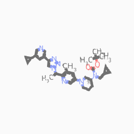 Cc1cc(N2CCC[C@@H](N(CC3CC3)C(=O)OC(C)(C)C)C2)cnc1C(C)n1cc(-c2cncc(C3CC3)c2)nn1